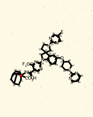 O=C(NC1(C(=O)O)C2CCC3CC(C2)CC1C3)c1cnc(N2CC3(CCN(c4ncc(F)cn4)C3)c3cc(OC4CCN(c5ncccn5)CC4)ccc32)nc1C(F)(F)F